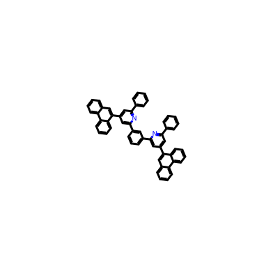 c1ccc(-c2cc(-c3cc4ccccc4c4ccccc34)cc(-c3cccc(-c4cc(-c5cc6ccccc6c6ccccc56)cc(-c5ccccc5)n4)c3)n2)cc1